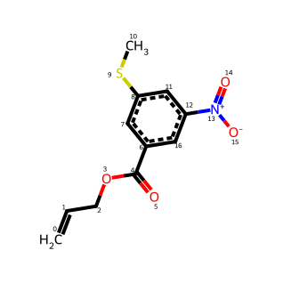 C=CCOC(=O)c1cc(SC)cc([N+](=O)[O-])c1